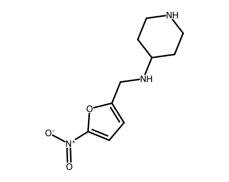 O=[N+]([O-])c1ccc(CNC2CCNCC2)o1